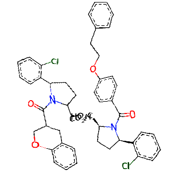 O=C(O)C1CCC(c2ccccc2Cl)N1C(=O)C1COc2ccccc2C1.O=C(O)[C@@H]1CC[C@H](c2ccccc2Cl)N1C(=O)c1ccc(OCCc2ccccc2)cc1